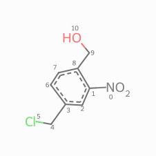 O=[N+]([O-])c1cc(CCl)ccc1CO